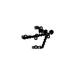 CCCCCCCC/C=C\CCCCCCCC(=O)OCCCCCC(C(=O)NCC(=O)OC(C)(C)C)N(CCN1CCCC1)C(=O)CCCCCCC/C=C\CCCCCCCC